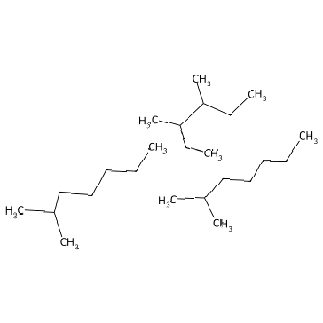 CCC(C)C(C)CC.CCCCCC(C)C.CCCCCC(C)C